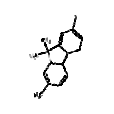 CC1=CC2C(C=C1)C1CC=C(I)C=C1C2(C)C